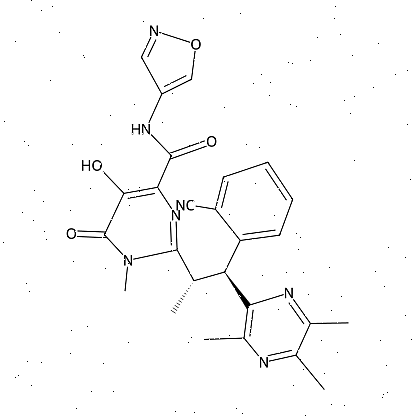 Cc1nc(C)c([C@H](c2ccccc2C#N)[C@H](C)c2nc(C(=O)Nc3cnoc3)c(O)c(=O)n2C)nc1C